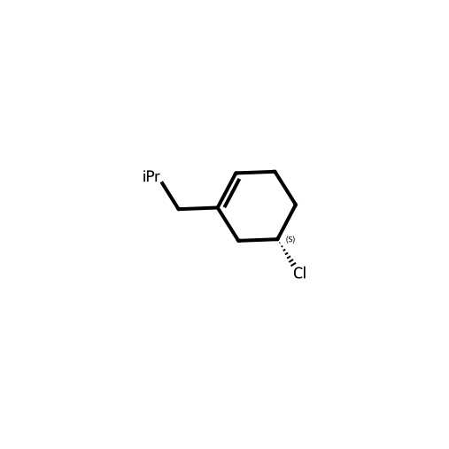 CC(C)CC1=CCC[C@H](Cl)C1